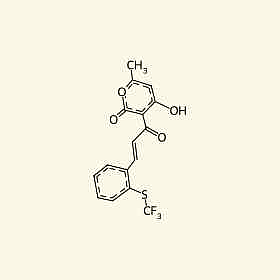 Cc1cc(O)c(C(=O)C=Cc2ccccc2SC(F)(F)F)c(=O)o1